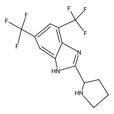 FC(F)(F)c1cc(C(F)(F)F)c2nc(C3CCCN3)[nH]c2c1